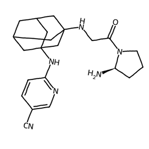 N#Cc1ccc(NC23CC4CC(CC(NCC(=O)N5CCC[C@H]5N)(C4)C2)C3)nc1